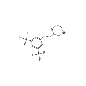 FC(F)(F)c1cc(CCC2CNCC[N]2)cc(C(F)(F)F)c1